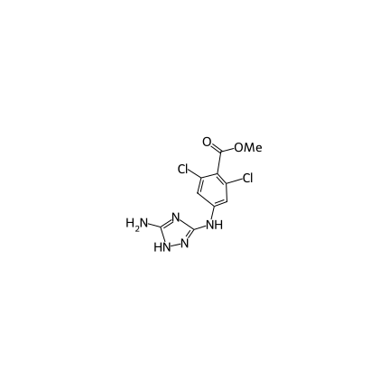 COC(=O)c1c(Cl)cc(Nc2n[nH]c(N)n2)cc1Cl